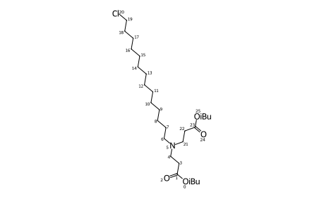 CC(C)COC(=O)CCN(CCCCCCCCCCCCCCCl)CCC(=O)OCC(C)C